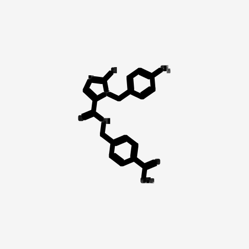 COC(=O)c1ccc(CNC(=O)c2cnc(Cl)n2Cc2ccc(C(F)(F)F)cc2)cc1